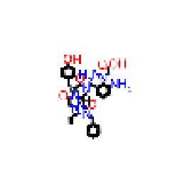 C=CCN1CC(=O)N2[C@@H](Cc3ccc(O)cc3)C(=O)N(Cc3cccc(N)c3N(N)CC(=O)O)C[C@@H]2N1C(=O)NCc1ccccc1